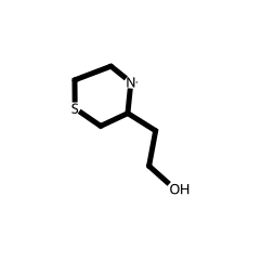 OCCC1CSCC[N]1